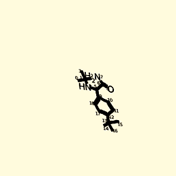 CC(C)(C)NC(C(N)=O)c1ccc(C(C)(C)C)cc1